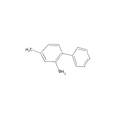 Bc1cc(C)ccc1-c1ccccc1